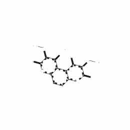 O=c1[nH]c2ccc3[nH]c(=O)/c(=N\O)c(=O)c3c2c(=O)/c1=N/O